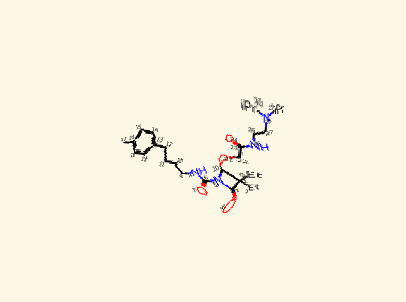 CCC1(CC)C(=O)N(C(=O)NCCCCc2ccc(C)cc2)[C@H]1OCC(=O)NCCN(C(C)C)C(C)C